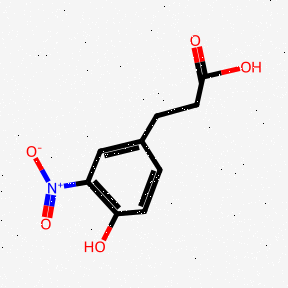 O=C(O)CCc1ccc(O)c([N+](=O)[O-])c1